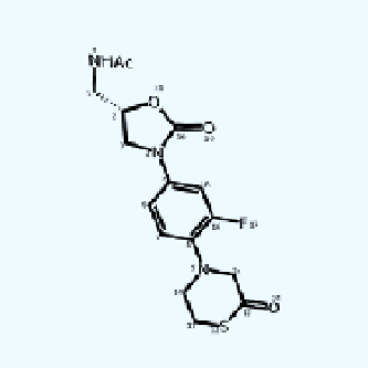 CC(=O)NC[C@H]1CN(c2ccc(N3CCSC(=O)C3)c(F)c2)C(=O)O1